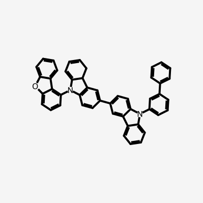 C1=CCC2C(=C1)N(c1cccc3oc4ccccc4c13)c1ccc(-c3ccc4c(c3)c3ccccc3n4-c3cccc(-c4ccccc4)c3)cc12